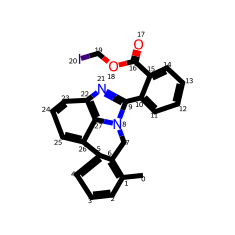 Cc1cccc2c1Cn1c(-c3ccccc3C(=O)OCI)nc3cccc-2c31